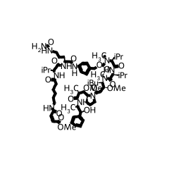 CC[C@H](C)[C@@H]([C@@H](CC(=O)N1CCC[C@H]1[C@H](OC)[C@@H](C)C(=O)N[C@H](C)[C@@H](O)c1ccccc1)OC)N(C)C(=O)[C@@H](NC(=O)[C@H](C(C)C)N(C)C(=O)OCc1ccc(NC(=O)[C@H](CCCNC(N)=O)NC(=O)[C@@H](NC(=O)CCCCCNC(=O)/C=C\C(=O)OC)C(C)C)cc1)C(C)C